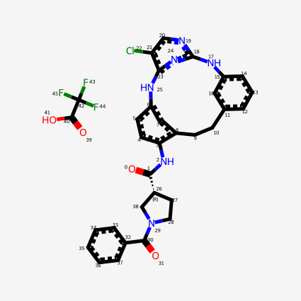 O=C(Nc1ccc2cc1CCc1cccc(c1)Nc1ncc(Cl)c(n1)N2)[C@@H]1CCN(C(=O)c2ccccc2)C1.O=C(O)C(F)(F)F